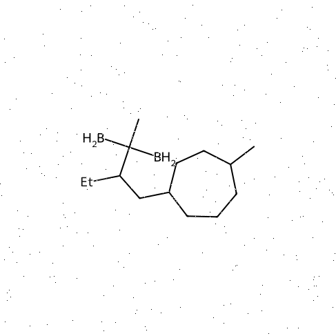 BC(B)(C)C(CC)CC1CCCC(C)CC1